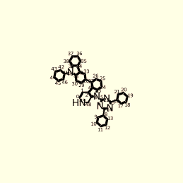 C1=Cc2c(n(-c3nc(-c4ccccc4)nc(-c4ccccc4)n3)c3cccc(-c4ccc5c(c4)c4ccccc4n5-c4ccccc4)c23)CN1